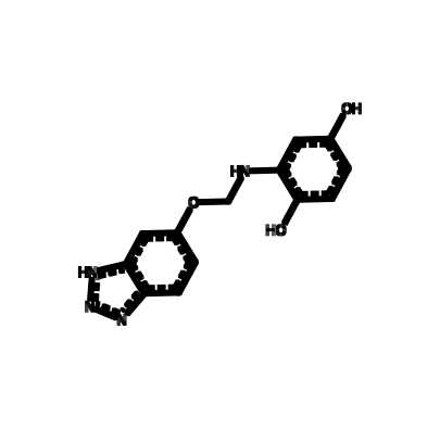 Oc1ccc(O)c(NCOc2ccc3nn[nH]c3c2)c1